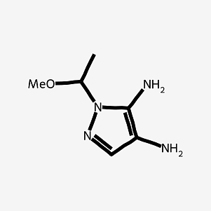 COC(C)n1ncc(N)c1N